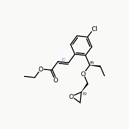 CCOC(=O)/C=C/c1ccc(Cl)cc1[C@@H](CC)OC[C@H]1CO1